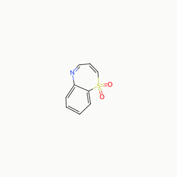 O=S1(=O)C=CC=Nc2ccccc21